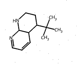 CC(C)(C)C1CCNC2N=CC=CC21